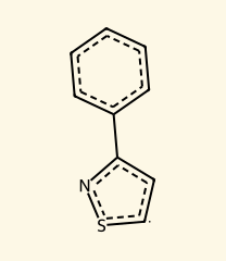 [c]1cc(-c2ccccc2)ns1